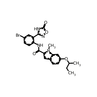 CCC(C)Oc1ccc2cc(C(=O)Nc3ccc(Br)cc3-c3noc(=O)[nH]3)n(C)c2c1